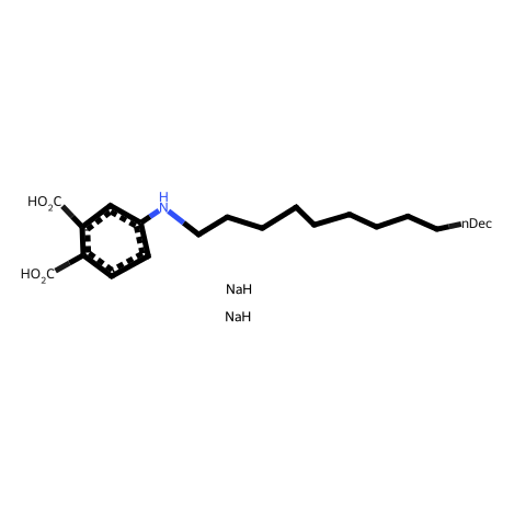 CCCCCCCCCCCCCCCCCCCNc1ccc(C(=O)O)c(C(=O)O)c1.[NaH].[NaH]